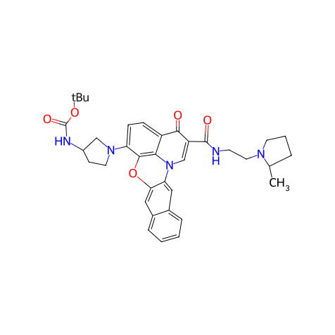 CC1CCCN1CCNC(=O)c1cn2c3c(c(N4CCC(NC(=O)OC(C)(C)C)C4)ccc3c1=O)Oc1cc3ccccc3cc1-2